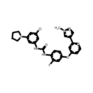 Cn1cc(-c2cc(Oc3ccc(NC(=O)Nc4cc(Cl)cc(N5CCCC5)c4)c(F)c3)ccn2)cn1